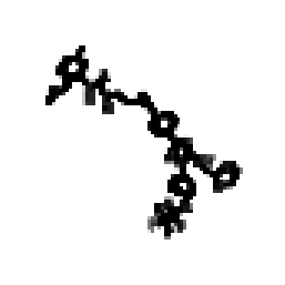 COCc1ccc(C)cc1NC(=S)NCCC1CC1c1ccc(-c2nc(NCC3OCCO3)n(-c3ccc(OC(F)(F)C(F)(F)F)cc3)n2)cc1